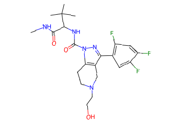 CNC(=O)C(NC(=O)n1nc(-c2cc(F)c(F)cc2F)c2c1CCN(CCO)C2)C(C)(C)C